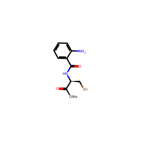 COC(=O)[C@H](CS)NC(=O)c1ccccc1N